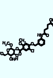 COc1cc(OCc2cccc(NC(=O)CCCC(=O)O)c2)c(Cl)cc1C(=O)O[C@H]1[C@@H](OC)O[C@H](CO)[C@@H](O)[C@@H]1O